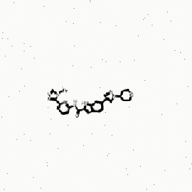 CC(C)n1cnnc1-c1cccc(NC(=O)c2cc3ccc(-c4cnn(C5CCOCC5)c4)cc3[nH]2)n1